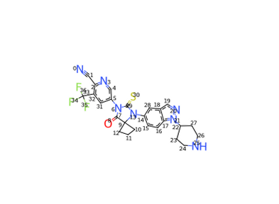 N#Cc1ncc(N2C(=O)C3(CCC3)N(c3ccc4c(cnn4C4CCNCC4)c3)C2=S)cc1C(F)(F)F